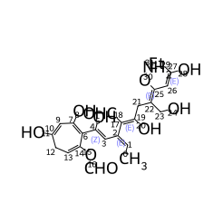 C/C=C(\C=C(/O)C1=C(O)C=C(O)CC=C1OC=O)C(/C=O)=C(\O)C/C(CO)=C(/C=C(/O)CC)ON